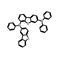 c1ccc(N(c2ccccc2)c2ccc3c(c2)sc2c(N(c4ccccc4)c4ccc5sc6ccccc6c5c4)cccc23)cc1